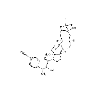 C[C@H](c1ccc(C#N)cc1)N(C)C(=O)[C@H]1CC[C@H]2[C@@H]3CC[C@@H]4C[C@@](O)(C(F)(F)F)CC[C@@H]4[C@H]3CC[C@]12C